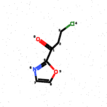 O=C(CCCl)c1ncco1